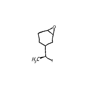 C[C@H](I)C1CCC2OC2C1